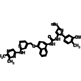 CCCCc1cc(NC(=O)Nc2ccc(OCc3ccnc(Nc4cnc(C)c(C)n4)c3)c3ccccc23)n(-c2ccc(C)c(OC)c2)n1